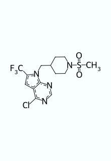 CS(=O)(=O)N1CCC(Cn2c(C(F)(F)F)cc3c(Cl)ncnc32)CC1